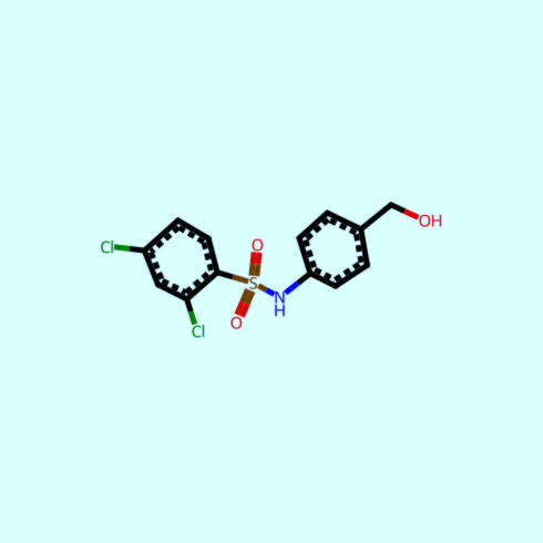 O=S(=O)(Nc1ccc(CO)cc1)c1ccc(Cl)cc1Cl